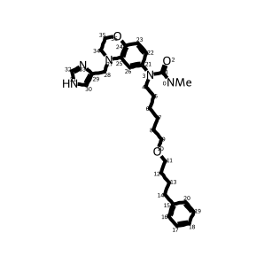 CNC(=O)N(CCCCCCOCCCCc1ccccc1)c1ccc2c(c1)N(Cc1c[nH]cn1)CCO2